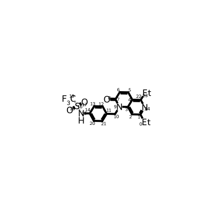 CCc1cc2c(ccc(=O)n2Cc2ccc(NS(=O)(=O)C(F)(F)F)cc2)c(CC)n1